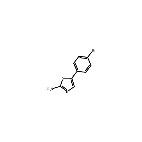 O=[N+]([O-])c1ncc(-c2ccc(Br)cc2)s1